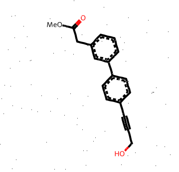 COC(=O)Cc1cccc(-c2ccc(C#CCO)cc2)c1